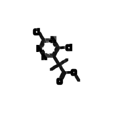 COC(=O)C(C)(C)c1nnc(Cl)nc1Cl